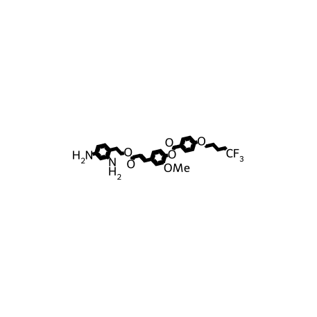 COc1cc(/C=C/C(=O)OCCc2ccc(N)cc2N)ccc1OC(=O)c1ccc(OCCCCC(F)(F)F)cc1